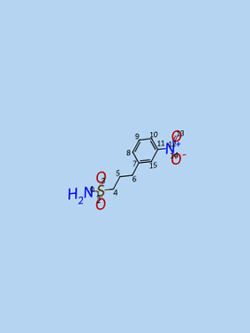 NS(=O)(=O)CCCc1cccc([N+](=O)[O-])c1